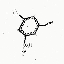 O=C(O)c1cc(O)cc(O)c1.[KH]